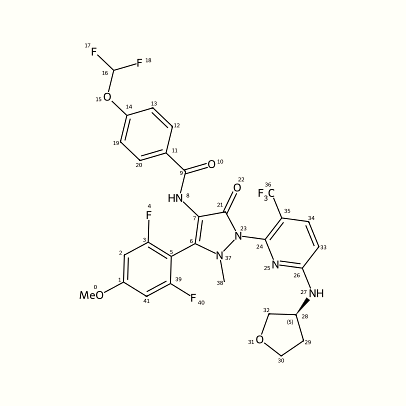 COc1cc(F)c(-c2c(NC(=O)c3ccc(OC(F)F)cc3)c(=O)n(-c3nc(N[C@H]4CCOC4)ccc3C(F)(F)F)n2C)c(F)c1